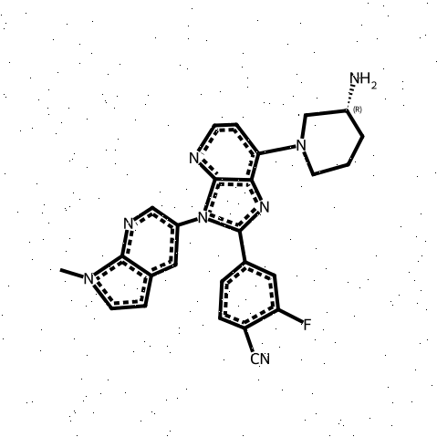 Cn1ccc2cc(-n3c(-c4ccc(C#N)c(F)c4)nc4c(N5CCC[C@@H](N)C5)ccnc43)cnc21